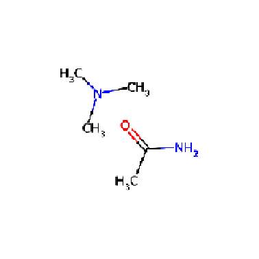 CC(N)=O.CN(C)C